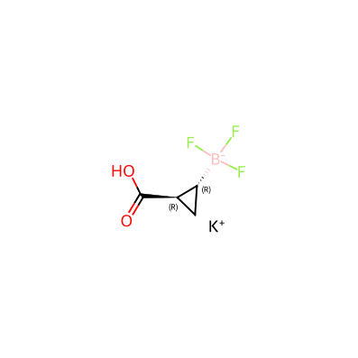 O=C(O)[C@@H]1C[C@H]1[B-](F)(F)F.[K+]